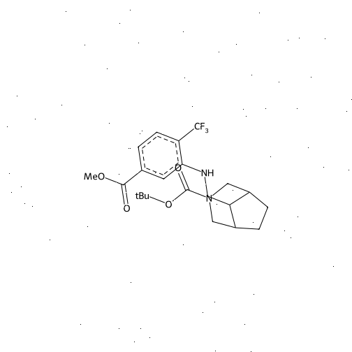 COC(=O)c1ccc(C(F)(F)F)c(NCC2C3CCC2CN(C(=O)OC(C)(C)C)C3)c1